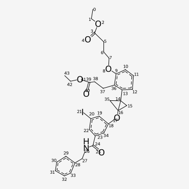 CCOC(=O)CCCOc1cccc(C23CC2(Oc2cc(I)cc(C(=O)NCc4ccccc4)c2)C3)c1CCC(=O)OCC